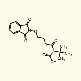 CC(C)(C)N(C(=O)O)C(=O)NCCON1C(=O)c2ccccc2C1=O